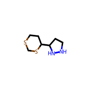 C1CC(C2CCSCS2)NN1